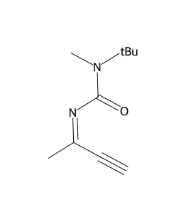 C#C/C(C)=N\C(=O)N(C)C(C)(C)C